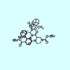 COc1c(C(=O)OC(C)(C)C)cccc1N(C(=O)C1CN(C(=O)OC(C)(C)C)CCN1C(=O)OCc1ccccc1)C(C)B1OC2CC3CC(C3(C)C)C2(C)O1